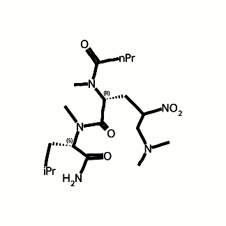 CCCC(=O)N(C)[C@H](CC(CN(C)C)[N+](=O)[O-])C(=O)N(C)[C@@H](CC(C)C)C(N)=O